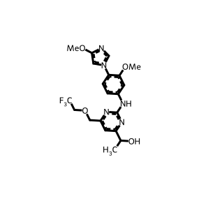 COc1cn(-c2ccc(Nc3nc(COCC(F)(F)F)cc(C(C)O)n3)cc2OC)cn1